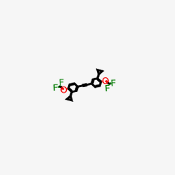 FC(F)Oc1ccc(C#Cc2ccc(OC(F)F)c(C3CC3)c2)cc1C1CC1